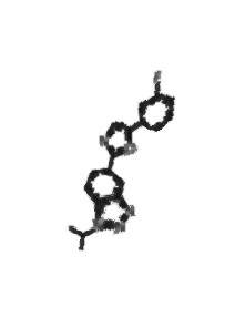 CC(C)n1nnc2cc(-c3ncc(-c4cccc(F)c4)o3)ccc21